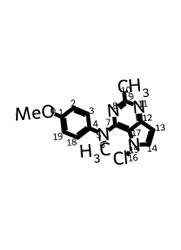 COc1ccc(N(C)c2nc(C)nc3ccn(Cl)c23)cc1